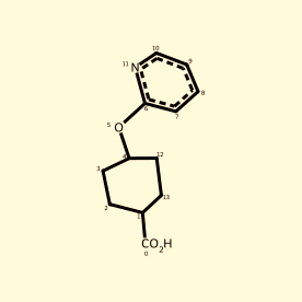 O=C(O)C1CCC(Oc2ccccn2)CC1